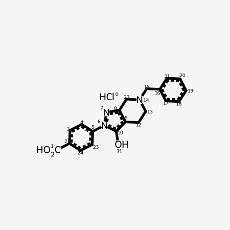 Cl.O=C(O)c1ccc(-n2nc3c(c2O)CCN(Cc2ccccc2)C3)cc1